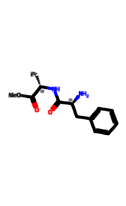 COC(=O)[C@@H](NC(=O)[C@@H](N)Cc1ccccc1)C(C)C